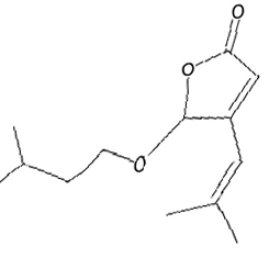 CC(C)=CC1=CC(=O)OC1OCCC(C)C